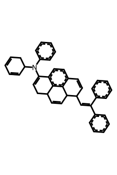 C1=CCC(N(C2=CCC3C=CC4c5c(ccc2c53)C=CC4C=C(c2ccccc2)c2ccccc2)c2ccccc2)C=C1